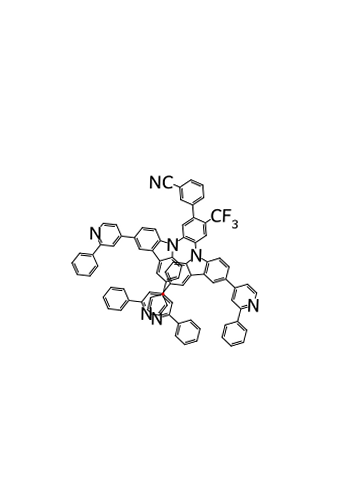 N#Cc1cccc(-c2cc(-n3c4ccc(-c5ccnc(-c6ccccc6)c5)cc4c4cc(-c5ccnc(-c6ccccc6)c5)ccc43)c(-n3c4ccc(-c5ccnc(-c6ccccc6)c5)cc4c4cc(-c5ccnc(-c6ccccc6)c5)ccc43)cc2C(F)(F)F)c1